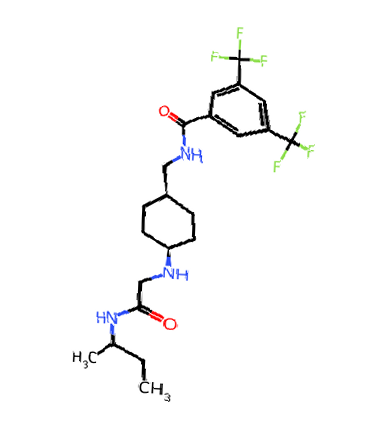 CCC(C)NC(=O)CN[C@H]1CC[C@@H](CNC(=O)c2cc(C(F)(F)F)cc(C(F)(F)F)c2)CC1